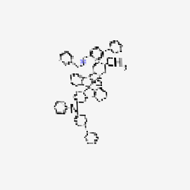 CC1C=Cc2c(sc3c2-c2c(C(/C=C/c4ccc(-c5ccccc5)cc4)c4ccccc4)cccc2C32C3=C(CCC=C3)c3cc(N(c4ccccc4)c4ccc(-c5ccccc5)cc4)ccc32)C1